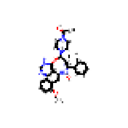 COc1ccccc1CC1C2=C(NCNC2)OC(N2CCN(C(C)=O)CC2)/C=C(/c2ccccc2C)[NH+]1[O-]